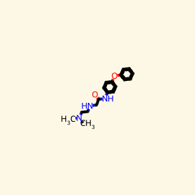 CN(C)CCNCC(=O)Nc1ccc(Oc2ccccc2)cc1